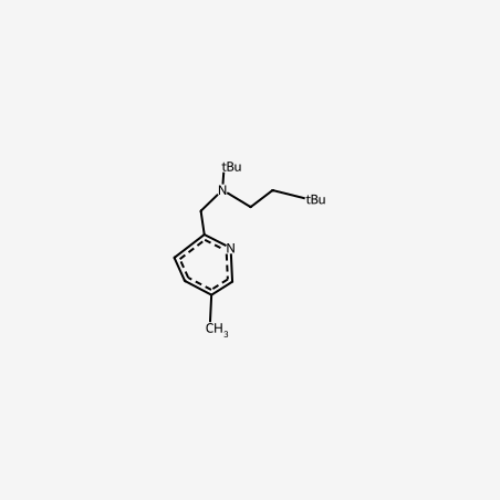 Cc1ccc(CN(CCC(C)(C)C)C(C)(C)C)nc1